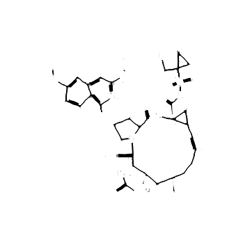 COc1ccc2c(O[C@@H]3C[C@H]4C(=O)N[C@]5(C(=O)NS(=O)(=O)C6(CF)CC6)CC5/C=C\CC[C@@H](C)C[C@@H](C)[C@H](NC(=O)O)C(=O)N4C3)nc(OC)cc2c1